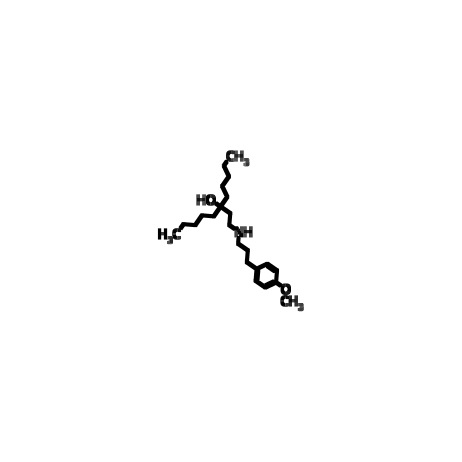 CCCCCC(O)(CCCCC)CCNCCCc1ccc(OC)cc1